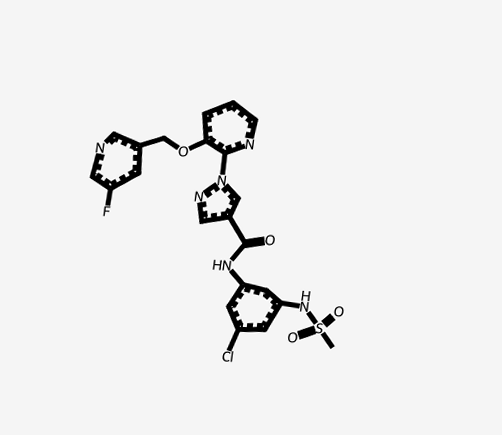 CS(=O)(=O)Nc1cc(Cl)cc(NC(=O)c2cnn(-c3ncccc3OCc3cncc(F)c3)c2)c1